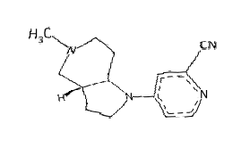 CN1CCC2[C@H](CCN2c2ccnc(C#N)c2)C1